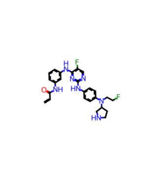 C=CC(=O)Nc1cccc(Nc2nc(Nc3ccc(N(CCF)C4CCNC4)cc3)ncc2F)c1